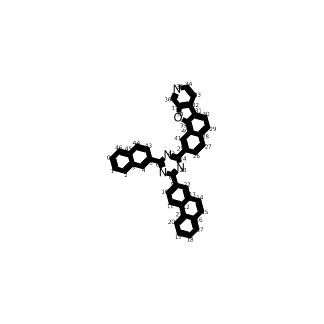 c1ccc2cc(-c3nc(-c4ccc5c(ccc6ccccc65)c4)nc(-c4ccc5ccc6c7ccncc7oc6c5c4)n3)ccc2c1